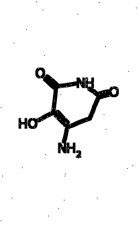 NC1=C(O)C(=O)NC(=O)C1